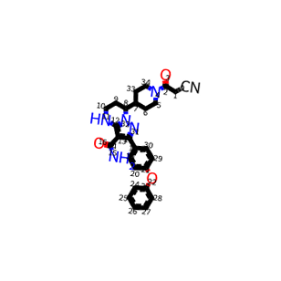 N#CCC(=O)N1CCC(C2CCNc3c(C(N)=O)c(-c4ccc(Oc5ccccc5)cc4)nn32)CC1